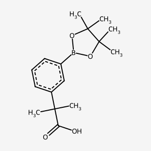 CC(C)(C(=O)O)c1cccc(B2OC(C)(C)C(C)(C)O2)c1